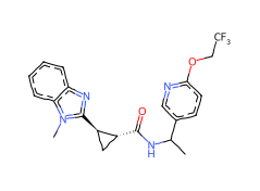 CC(NC(=O)[C@@H]1C[C@H]1c1nc2ccccc2n1C)c1ccc(OCC(F)(F)F)nc1